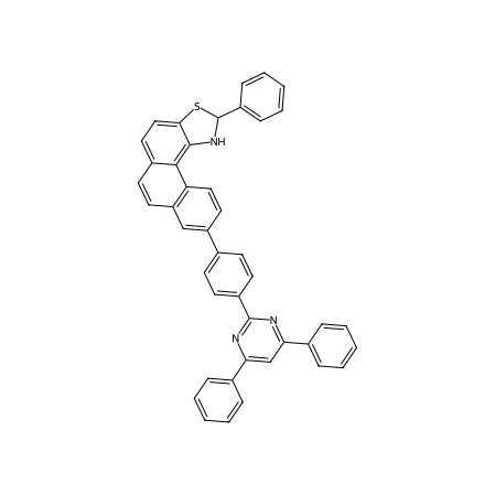 c1ccc(-c2cc(-c3ccccc3)nc(-c3ccc(-c4ccc5c(ccc6ccc7c(c65)NC(c5ccccc5)S7)c4)cc3)n2)cc1